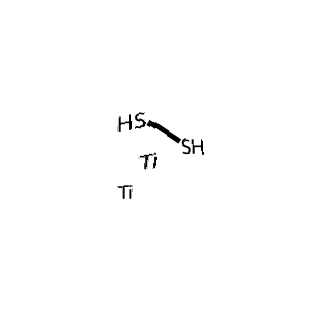 SS.[Ti].[Ti]